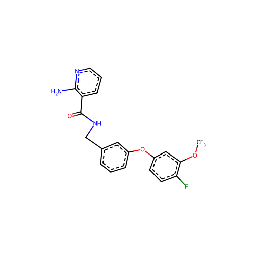 Nc1ncccc1C(=O)NCc1cccc(Oc2ccc(F)c(OC(F)(F)F)c2)c1